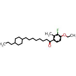 CCCC1CCC(CCCCCCCC(=O)c2ccc(OCC)c(F)c2C)CC1